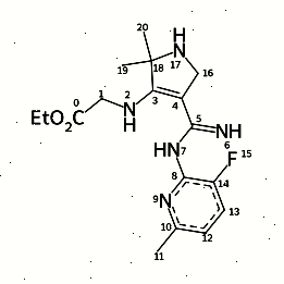 CCOC(=O)CNC1=C(C(=N)Nc2nc(C)ccc2F)CNC1(C)C